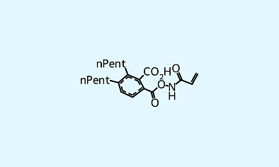 C=CC(=O)NOC(=O)c1ccc(CCCCC)c(CCCCC)c1C(=O)O